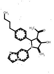 C=C1C(O)=C(C(C)=O)C(c2ccc(CCCC)cc2)N1c1ccn2ccnc2c1